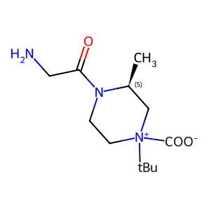 C[C@H]1C[N+](C(=O)[O-])(C(C)(C)C)CCN1C(=O)CN